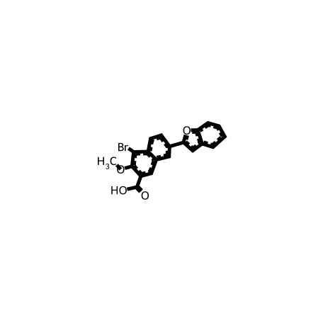 COc1c(C(=O)O)cc2cc(-c3cc4ccccc4o3)ccc2c1Br